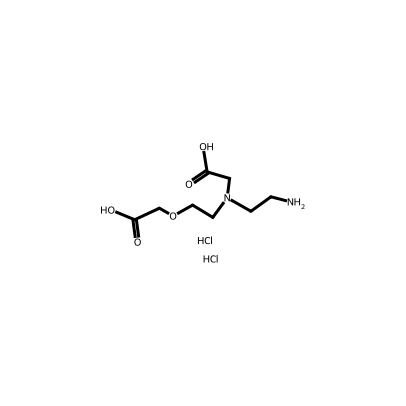 Cl.Cl.NCCN(CCOCC(=O)O)CC(=O)O